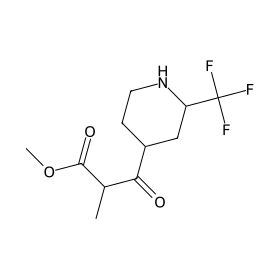 COC(=O)C(C)C(=O)C1CCNC(C(F)(F)F)C1